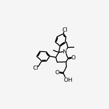 CC(C)N1C(=O)C(CC(=O)O)CC(c2cccc(Cl)c2)C1(C)c1ccc(Cl)cc1